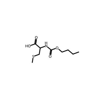 CCCCOC(=O)NC(CSC)C(=O)O